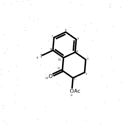 CC(=O)OC1CCc2cccc(I)c2C1=O